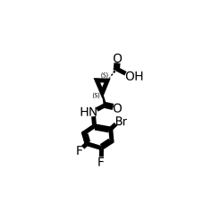 O=C(O)[C@H]1C[C@@H]1C(=O)Nc1cc(F)c(F)cc1Br